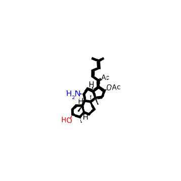 CC(=O)O[C@H]1C[C@@]2(C)[C@@H](C[C@@H](N)[C@H]3[C@@]4(C)CC[C@@H](O)[C@@H](C)[C@@H]4CC[C@@]32C)/C1=C(\C=C/C=C(C)C)C(C)=O